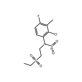 CCS(=O)(=O)CCN(c1ccc(F)c(I)c1Cl)[SH](=O)=O